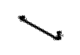 CN1C(=O)C[C@H](C(=O)NCCOCCOCCOCCOCCOCCOCCOCCOCCOCCOCCOCCOCCOCCOCCOCCNC(=O)COc2ccc3nccc(C(=O)NCC(=O)N4CCC[C@@H]4C#N)c3c2)[C@H]1c1cccnc1